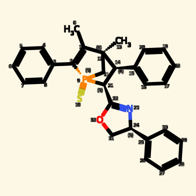 CC1=C(c2ccccc2)[P@]2(=S)C[C@]1(C)[C@@H](c1ccccc1)[C@H]2C1=N[C@@H](c2ccccc2)CO1